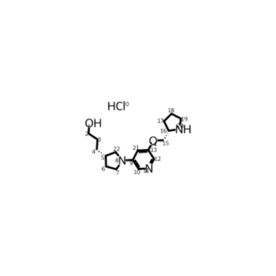 Cl.OCCC[C@H]1CCN(c2cncc(OC[C@@H]3CCCN3)c2)C1